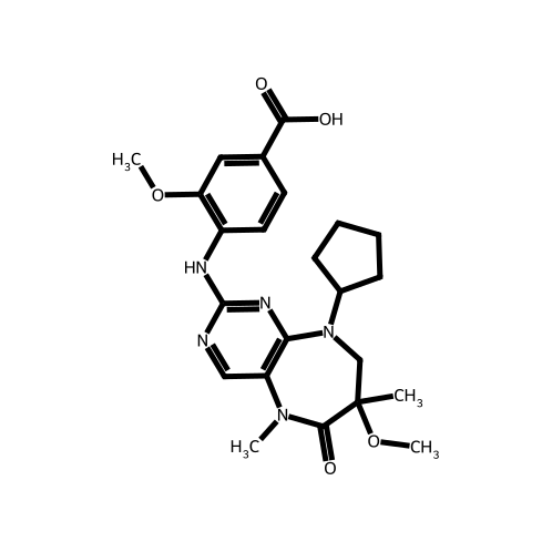 COc1cc(C(=O)O)ccc1Nc1ncc2c(n1)N(C1CCCC1)CC(C)(OC)C(=O)N2C